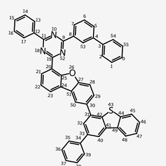 c1ccc(-c2cccc(-c3nc(-c4ccccc4)nc(-c4cccc5c4oc4ccc(-c6cc(-c7ccccc7)cc7c6sc6ccccc67)cc45)n3)c2)cc1